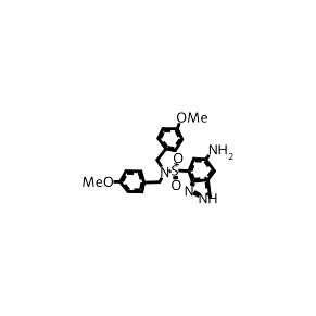 COc1ccc(CN(Cc2ccc(OC)cc2)S(=O)(=O)c2cc(N)cc3c[nH]nc23)cc1